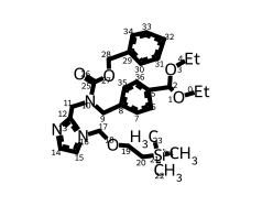 CCOC(OCC)c1ccc(CN(Cc2nccn2COCC[Si](C)(C)C)C(=O)OCc2ccccc2)cc1